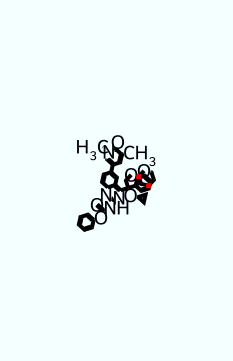 Cc1cc(-c2ccc3nc(NC(=O)Oc4ccccc4)nc(C(COC4CCCCO4)(OC4CC4)c4ccccc4)c3c2)cn(C)c1=O